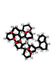 c1ccc(-c2ccc(-c3ccccc3)c(N(c3cccc(-c4cccc5ccccc45)c3)c3ccccc3-c3cccc4cccc(C5CCCCC5)c34)c2)cc1